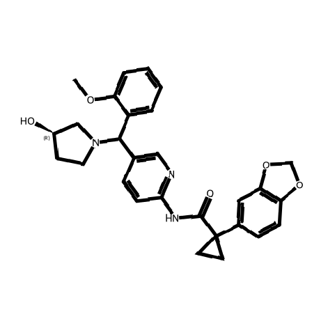 COc1ccccc1C(c1ccc(NC(=O)C2(c3ccc4c(c3)OCO4)CC2)nc1)N1CC[C@@H](O)C1